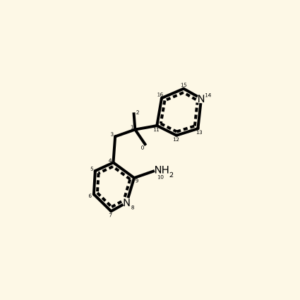 CC(C)(Cc1cccnc1N)c1ccncc1